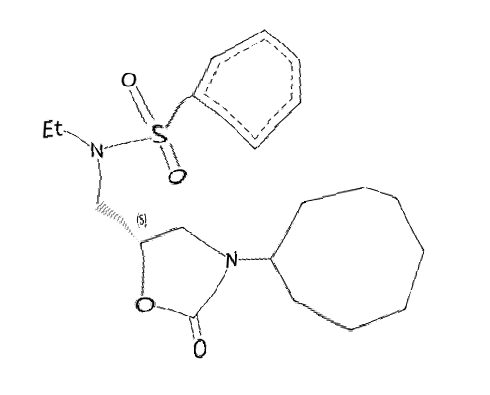 CCN(C[C@@H]1CN(C2CCCCCCC2)C(=O)O1)S(=O)(=O)c1ccccc1